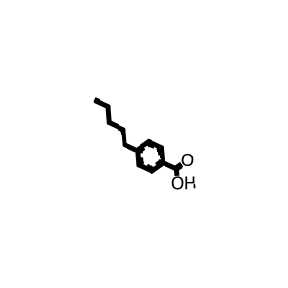 CCCCCc1ccc(C(=O)O)cc1